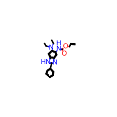 C=CCOC(=O)Nc1cc2nc(-c3ccccc3)[nH]c2cc1N(CC)CC